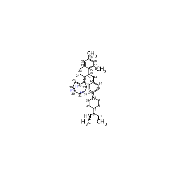 CCC(NC)C1CCN(c2ccc(C[C@@H]3c4c(C)cc(C)cc4CCC3C3/C=C/C=C\C=C/C3)cc2)CC1